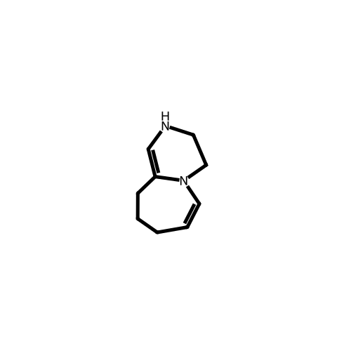 C1=CN2CCNC=C2CCC1